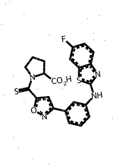 O=C(O)C1CCCN1C(=S)c1cc(-c2cccc(Nc3nc4ccc(F)cc4s3)c2)no1